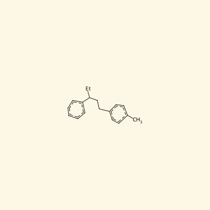 CCC(CCc1ccc(C)cc1)c1ccccc1